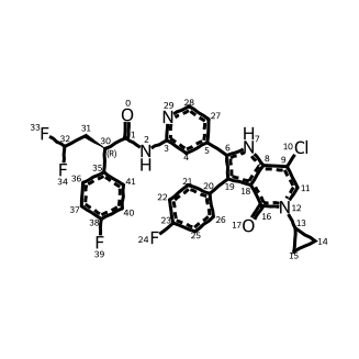 O=C(Nc1cc(-c2[nH]c3c(Cl)cn(C4CC4)c(=O)c3c2-c2ccc(F)cc2)ccn1)[C@H](CC(F)F)c1ccc(F)cc1